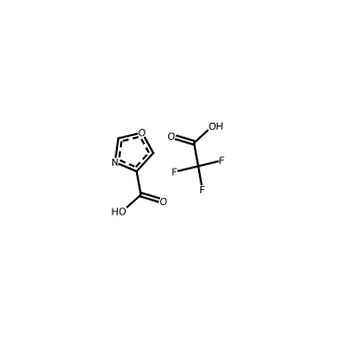 O=C(O)C(F)(F)F.O=C(O)c1cocn1